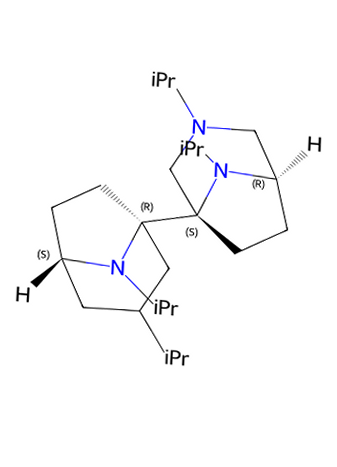 CC(C)C1C[C@@H]2CC[C@]([C@]34CC[C@H](CN(C(C)C)C3)N4C(C)C)(C1)N2C(C)C